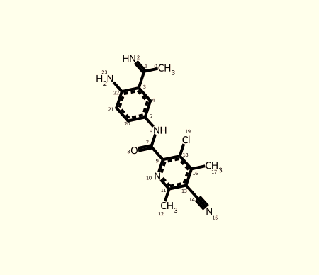 CC(=N)c1cc(NC(=O)c2nc(C)c(C#N)c(C)c2Cl)ccc1N